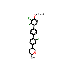 CCCCCCCOc1ccc(-c2ccc(-c3ccc(C4CCC(CCC)OC4)cc3F)cc2)c(F)c1F